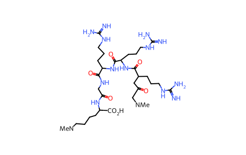 CNCCCCC(NC(=O)CNC(=O)C(CCCNC(=N)N)NC(=O)C(CCCNC(=N)N)NC(=O)C(CCCNC(=N)N)CC(=O)CNC)C(=O)O